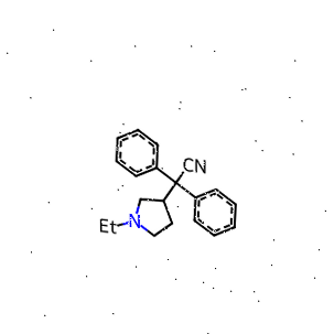 CCN1CCC(C(C#N)(c2ccccc2)c2ccccc2)C1